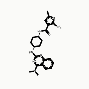 Cc1cc(C(=O)N[C@H]2CC[C@@H](Nc3nc(N(C)C)c4ccccc4n3)CC2)c(C(F)(F)F)o1